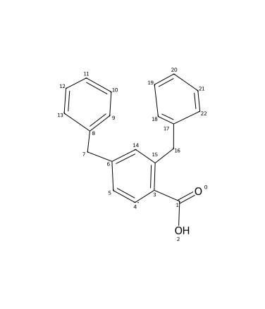 O=C(O)c1[c]cc(Cc2ccccc2)cc1Cc1ccccc1